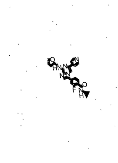 O=C(NC1CC1)c1ccc(-c2cnc3c(NCC4CCCO4)nc(-c4ccncc4)cn23)cc1F